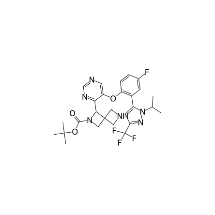 CC(C)n1nc(C(F)(F)F)cc1-c1cc(F)ccc1Oc1cncnc1C1N(C(=O)OC(C)(C)C)CC12CNC2